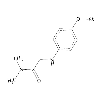 CCOc1ccc(NCC(=O)N(C)C)cc1